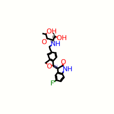 CC(O)C(=O)[C@@H](NCc1ccc2c(c1)CO/C2=C1/C(=O)Nc2ccc(F)cc21)[C@@H](C)O